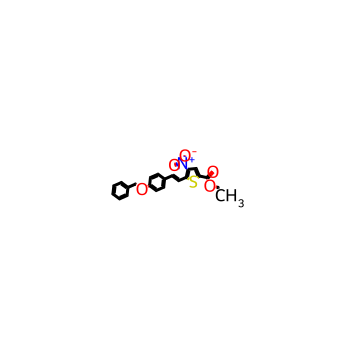 CCOC(=O)c1cc([N+](=O)[O-])c(/C=C/c2ccc(OCc3ccccc3)cc2)s1